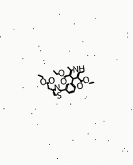 CCOC(=O)Cc1csc(-c2cccc(C3C(C(=O)OCC)=C(C)NC(C)=C3C(=O)OCC)c2)n1